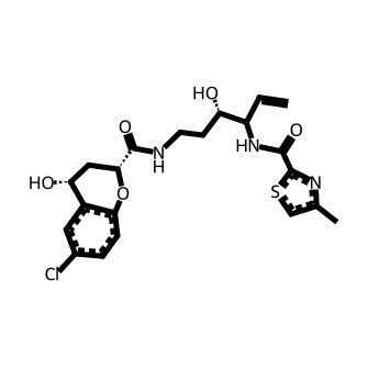 C=CC(NC(=O)c1nc(C)cs1)[C@@H](O)CCNC(=O)[C@H]1C[C@@H](O)c2cc(Cl)ccc2O1